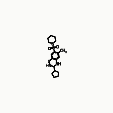 Cc1cc2c(cc1S(=O)(=O)N1CCCCC1)SNC(C1CCCC1)N2